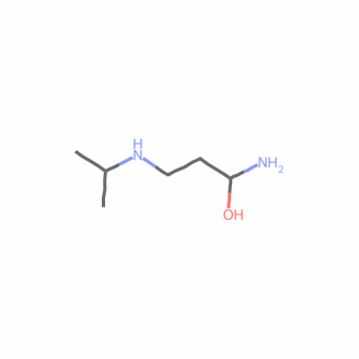 CC(C)NCCC(N)O